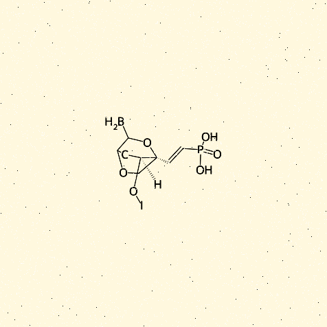 BC1O[C@@]2(/C=C/P(=O)(O)O)COC1C[C@@H]2OI